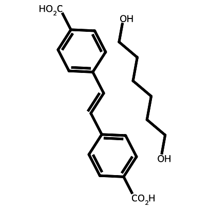 O=C(O)c1ccc(C=Cc2ccc(C(=O)O)cc2)cc1.OCCCCCCO